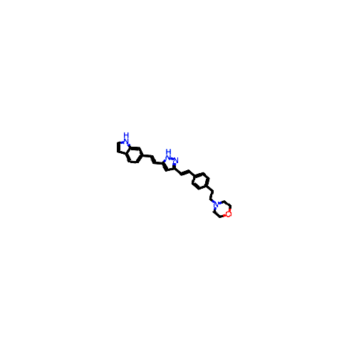 C(=C\c1cc(/C=C/c2ccc3cc[nH]c3c2)[nH]n1)/c1ccc(CCN2CCOCC2)cc1